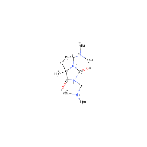 CCCCCCCCCCCC1(C)C(=O)N(CN(CCCC)CCCC)C(=O)N1CN(CCCC)CCCC